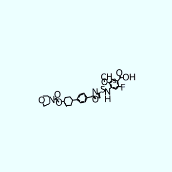 COc1cc(C(=O)O)c(F)cc1NSc1coc(-c2ccc(C3CCC(OC(=O)N4CCOCC4)CC3)cc2)n1